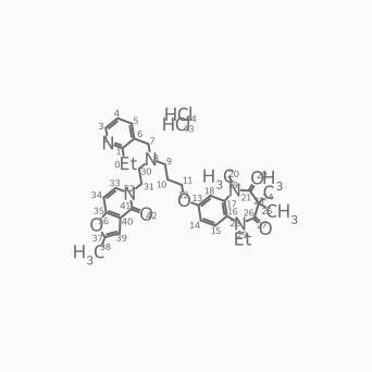 CCc1ncccc1CN(CCCOc1ccc2c(c1)N(C)C(=O)C(C)(C)C(=O)N2CC)CCn1ccc2oc(C)cc2c1=O.Cl.Cl